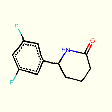 O=C1CCCC(c2cc(F)cc(F)c2)N1